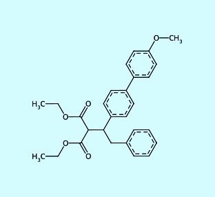 CCOC(=O)C(C(=O)OCC)C(Cc1ccccc1)c1ccc(-c2ccc(OC)cc2)cc1